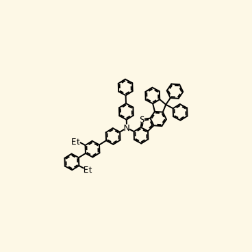 CCc1ccccc1-c1ccc(-c2ccc(N(c3ccc(-c4ccccc4)cc3)c3cccc4c3sc3c5c(ccc34)C(c3ccccc3)(c3ccccc3)c3ccccc3-5)cc2)cc1CC